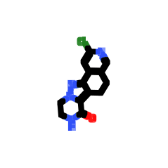 O=C1NCCn2nc3c(c21)CCc1cnc(Cl)cc1-3